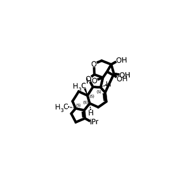 CC(C)C1=C2[C@@H]3CC=C4C(O)C5(O)COC6OC([C@H]4C6(O)C5O)[C@@]3(C)CC[C@]2(C)CC1